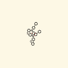 c1ccc(-c2ccc(N(c3ccc4c(c3)oc3ccccc34)c3ccc4sc5cccc(N(c6ccccc6)c6ccc(-c7ccccc7)cc6)c5c4c3)cc2)cc1